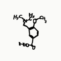 COc1ccc(C(=O)O)cc1CN(C)C